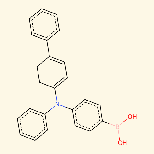 OB(O)c1ccc(N(C2=CC=C(c3ccccc3)CC2)c2ccccc2)cc1